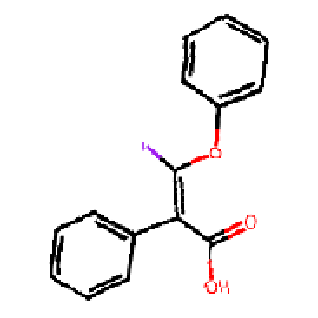 O=C(O)C(=C(I)Oc1ccccc1)c1ccccc1